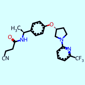 C[C@H](NC(=O)CCC#N)c1ccc(O[C@@H]2CCN(c3cccc(C(F)(F)F)n3)C2)cc1